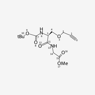 C#CCOC[C@H](NC(=O)OC(C)(C)C)C(=O)NCC(=O)OC